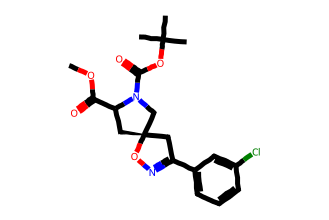 COC(=O)C1C[C@]2(CC(c3cccc(Cl)c3)=NO2)CN1C(=O)OC(C)(C)C